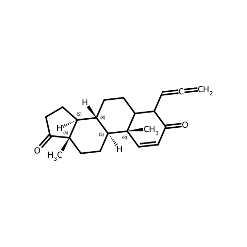 C=C=CC1C(=O)C=C[C@@]2(C)C1CC[C@@H]1[C@@H]2CC[C@]2(C)C(=O)CC[C@@H]12